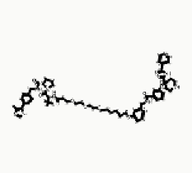 Cc1ncsc1-c1ccc(CNC(=O)[C@@H]2CCCN2C(=O)[C@@H](NC(=O)CCOCCOCCOCCCCCCOc2cccc(CNC(=O)c3cccc(NC4(c5nnc(-c6ccncc6)[nH]5)CCNCC4)c3)c2)C(C)(C)C)cc1